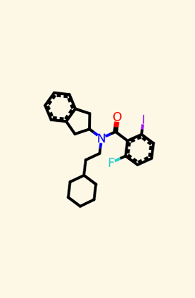 O=C(c1c(F)cccc1I)N(CCC1CCCCC1)C1Cc2ccccc2C1